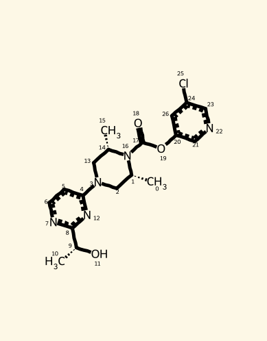 C[C@@H]1CN(c2ccnc([C@@H](C)O)n2)C[C@H](C)N1C(=O)Oc1cncc(Cl)c1